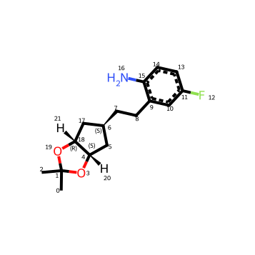 CC1(C)O[C@H]2C[C@H](CCc3cc(F)ccc3N)C[C@H]2O1